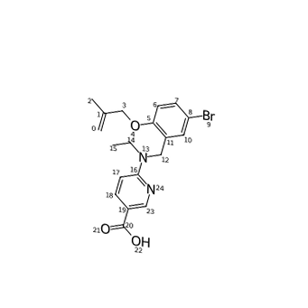 C=C(C)COc1ccc(Br)cc1CN(CC)c1ccc(C(=O)O)cn1